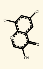 N#Cc1coc2c(Cl)cc(Cl)cc2c1=O